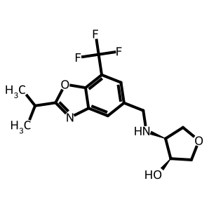 CC(C)c1nc2cc(CN[C@H]3COC[C@H]3O)cc(C(F)(F)F)c2o1